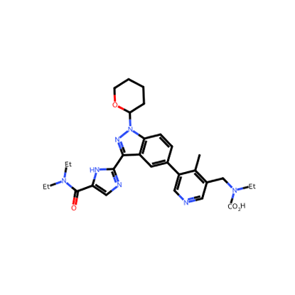 CCN(Cc1cncc(-c2ccc3c(c2)c(-c2ncc(C(=O)N(CC)CC)[nH]2)nn3C2CCCCO2)c1C)C(=O)O